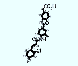 O=C(O)Cc1ccc2oc(-c3ccc(NC(=O)C=Cc4ccc(F)cc4Cl)c(F)c3)nc2c1